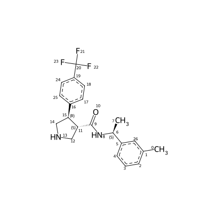 Cc1cccc([C@H](C)NC(=O)[C@@H]2CNC[C@H]2c2ccc(C(F)(F)F)cc2)c1